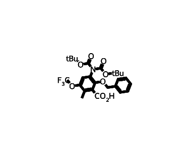 Cc1c(OC(F)(F)F)cc(N(C(=O)OC(C)(C)C)C(=O)OC(C)(C)C)c(OCc2ccccc2)c1C(=O)O